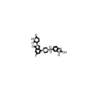 O=C1CCC(N2Cc3c(cc(F)cc3N3CCN(S(=O)(=O)c4ccc5nc(O)[nH]c5c4)CC3)C2=O)C(=O)N1